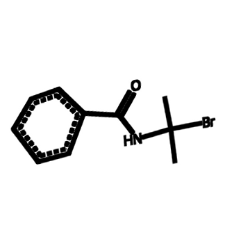 CC(C)(Br)NC(=O)c1ccccc1